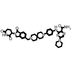 NC(=O)c1ncc(N2CCCCC2)nc1Nc1ccc(N2CCC3(CCN(Cc4ccc5c(c4)CN(C4CCC(=O)NC4=O)C5=O)CC3)CC2)cc1